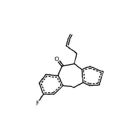 C=CCC1C(=O)c2ccc(F)cc2Cc2ccccc21